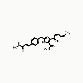 C=C(/C=C\C=C/C)c1nc(Cc2ccc(/C=C/C(=O)NO)cc2)[nH]c1C(=O)OC